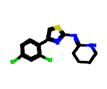 Clc1ccc(-c2csc(N=C3CCCCN3)n2)c(Cl)c1